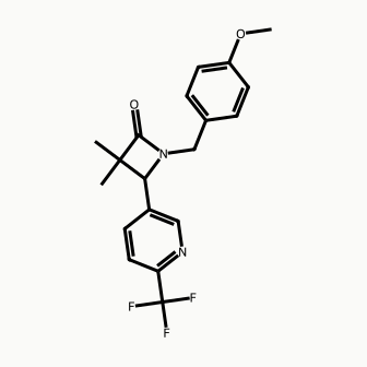 COc1ccc(CN2C(=O)C(C)(C)C2c2ccc(C(F)(F)F)nc2)cc1